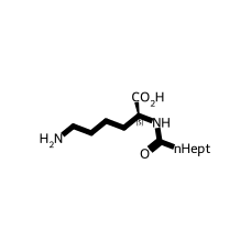 CCCCCCCC(=O)N[C@@H](CCCCN)C(=O)O